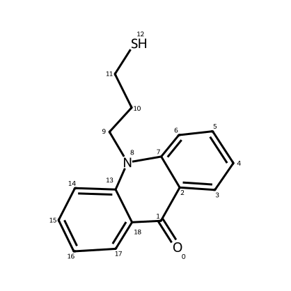 O=c1c2ccccc2n(CCCS)c2ccccc12